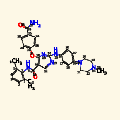 Cc1cccc(C)c1NC(=O)c1cnc(Nc2ccc(N3CCN(C)CC3)cc2)nc1Oc1ccc(C(N)=O)cc1